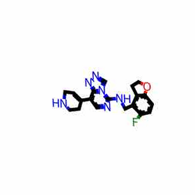 Fc1ccc2c(c1CNc1ncc(C3=CCNCC3)c3nncn13)CCO2